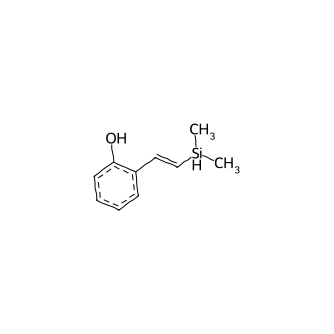 C[SiH](C)C=Cc1ccccc1O